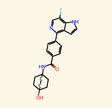 O=C(NC12CCC(O)(CC1)CC2)c1ccc(-c2ncc(F)c3[nH]ccc23)cc1